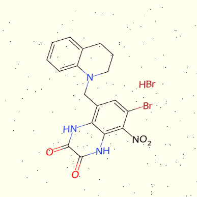 Br.O=c1[nH]c2c(CN3CCCc4ccccc43)cc(Br)c([N+](=O)[O-])c2[nH]c1=O